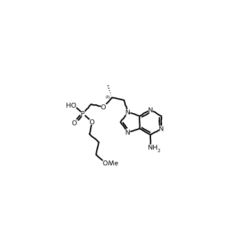 COCCCOP(=O)(O)CO[C@H](C)Cn1cnc2c(N)ncnc21